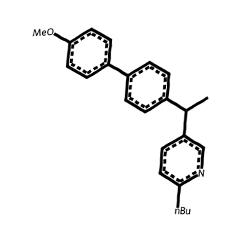 CCCCc1ccc(C(C)c2ccc(-c3ccc(OC)cc3)cc2)cn1